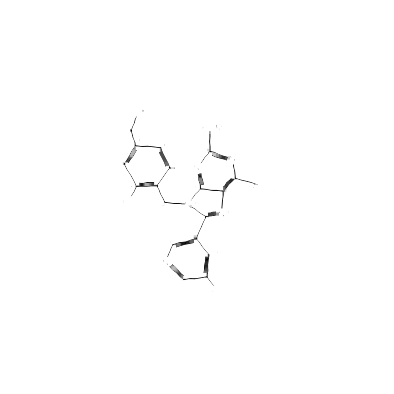 COc1nc(C)c2nc(-c3cncc(F)c3)n(Cc3ccc(CO)cc3F)c2n1